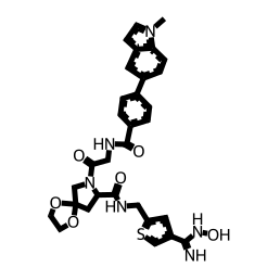 Cn1ccc2cc(-c3ccc(C(=O)NCC(=O)N4CC5(CC4C(=O)NCc4cc(C(=N)NO)cs4)OCCO5)cc3)ccc21